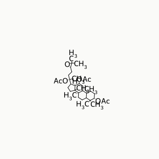 CC(=O)OC1CC2[C@@]3(C)CC[C@H](OC(C)=O)C(C)(C)C3CC[C@@]2(C)[C@]2(C)CCC([C@](C)(CCC3OC3(C)C)OC(C)=O)[C@@H]12